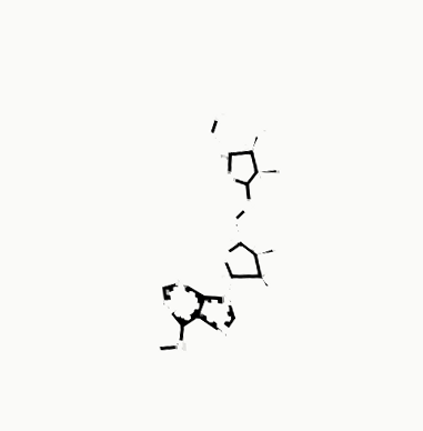 CNc1ncnc2c1ncn2[C@@H]1O[C@H](COC2O[C@H](CO)[C@@H](O)[C@H]2O)[C@@H](O)[C@H]1O